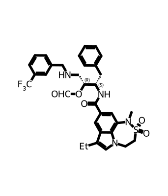 CCc1cn2c3c(cc(C(=O)N[C@@H](Cc4ccccc4)[C@@H](CNCc4cccc(C(F)(F)F)c4)OC=O)cc13)N(C)S(=O)(=O)CC2